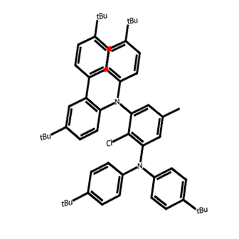 Cc1cc(N(c2ccc(C(C)(C)C)cc2)c2ccc(C(C)(C)C)cc2)c(Cl)c(N(c2ccc(C(C)(C)C)cc2)c2ccc(C(C)(C)C)cc2-c2ccc(C(C)(C)C)cc2)c1